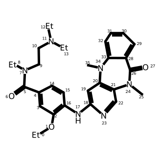 CCOc1cc(C(=O)N(CC)CCN(CC)CC)ccc1Nc1cc2c(cn1)N(C)C(=O)c1ccccc1N2C